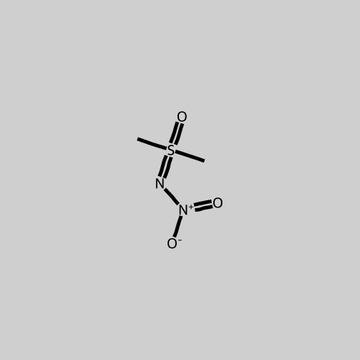 CS(C)(=O)=N[N+](=O)[O-]